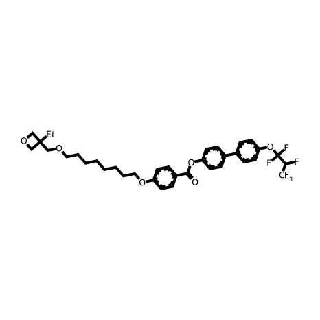 CCC1(COCCCCCCCCOc2ccc(C(=O)Oc3ccc(-c4ccc(OC(F)(F)C(F)C(F)(F)F)cc4)cc3)cc2)COC1